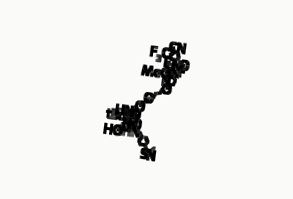 COC1=C(N2C(=S)N(c3ccc(C#N)c(C(F)(F)F)c3F)C(=O)C2(C)C)CCC(OCCCCOCCOCC(=O)N[C@H](C(=O)N2C[C@H](O)C[C@H]2C(=O)NCc2ccc(-c3scnc3C)cc2)C(C)(C)C)=N1